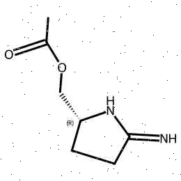 CC(=O)OC[C@H]1CCC(=N)N1